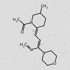 C=N/C(=C\C=C1/CCC(C)CN1C(C)=O)N1CCOCC1